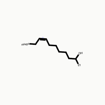 CCCCCCCC/C=C\CCCCCC(O)CC